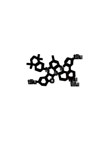 Cc1cc2c3c(c1)N(c1ccc4c(c1)C(C)(C)CCC4(C)C)C1c4cc(C(C)(C)C)ccc4OC1B3c1ccc(C(C)(C)C)cc1N2c1ccc(C(C)(C)C)cc1-c1ccc(C(C)(C)C)cc1